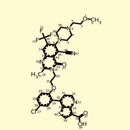 COCCN1CCN(c2c(C(F)(F)F)cc3nc(C)n(CCOc4ccc(Cl)cc4-c4ccnc5c(C(=O)O)csc45)c(=O)c3c2C#N)CC1